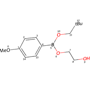 COc1ccc(B(OCCO)OCC(C)(C)C)cc1